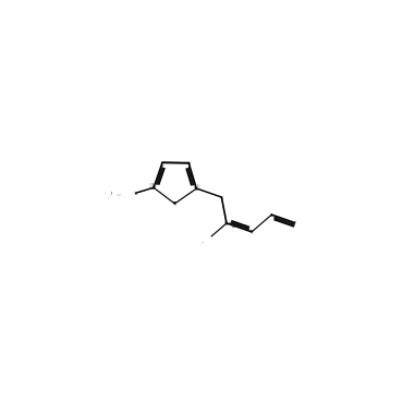 C=C/C=C(\CC1=CC=C(OC)C1)C(C)(C)C